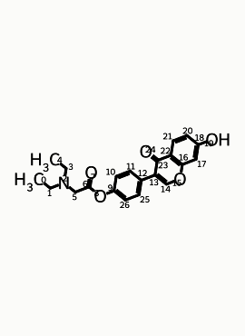 CCN(CC)CC(=O)Oc1ccc(-c2coc3cc(O)ccc3c2=O)cc1